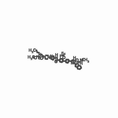 CCCCN(CC(=O)N1CCN(c2ccc(NC(=O)c3ccc(-c4ccc(-c5c[nH]c(C6CC7CCCCC7N6C(=O)CNC)n5)cc4)c(OC(F)(F)F)c3)cn2)CC1)C(=O)COC